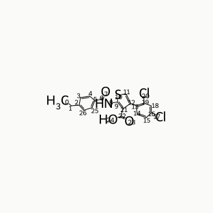 CCc1ccc(C(=O)Nc2scc(-c3ccc(Cl)cc3Cl)c2C(=O)O)cc1